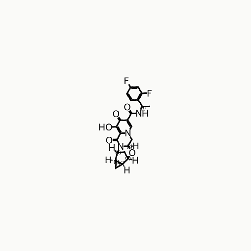 C[C@@H](NC(=O)c1cn2c(c(O)c1=O)C(=O)N1[C@@H]3C[C@H](O[C@@H]1C2)[C@H]1C[C@H]13)c1ccc(F)cc1F